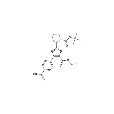 CCOC(=O)c1[nH]c(C2CCCN2C(=O)OC(C)(C)C)nc1-c1ccc(C(=O)O)cc1